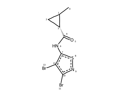 CC1C[C@H]1C(=O)Nc1snc(Br)c1Br